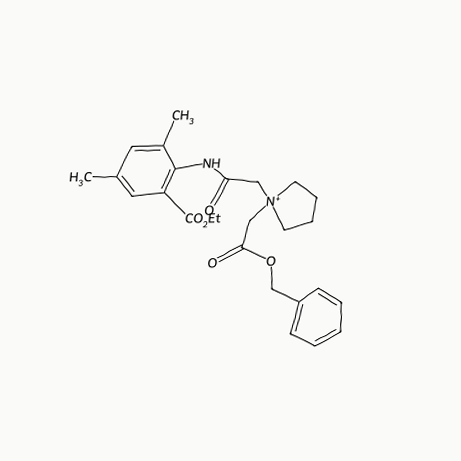 CCOC(=O)c1cc(C)cc(C)c1NC(=O)C[N+]1(CC(=O)OCc2ccccc2)CCCC1